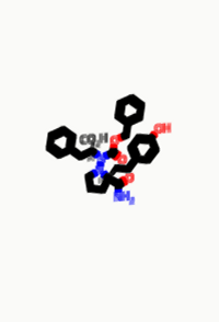 NC(=O)[C@]1(CCc2ccc(O)cc2)CCCN1N(C(=O)OCc1ccccc1)[C@H](Cc1ccccc1)C(=O)O